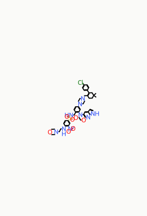 CC1(C)CCC(CN2CCN(c3ccc(C(=O)NS(=O)(=O)c4ccc(NCCN5CCOCC5)c([N+](=O)[O-])c4)c(N4CCOc5nc6[nH]ccc6cc54)c3)CC2)=C(c2ccc(Cl)cc2)C1